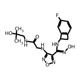 CC(C)(O)CNC(=O)CNc1nonc1/C(=N/O)NC1Cc2ccc(F)cc21